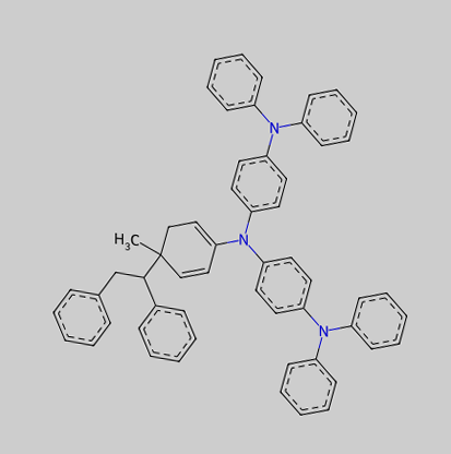 CC1(C(Cc2ccccc2)c2ccccc2)C=CC(N(c2ccc(N(c3ccccc3)c3ccccc3)cc2)c2ccc(N(c3ccccc3)c3ccccc3)cc2)=CC1